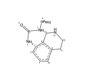 CCCCCNC(N)=O.c1ccc2c(c1)CCNC2